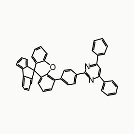 c1ccc(-c2cc(-c3ccccc3)nc(-c3ccc(-c4cccc5c4Oc4ccccc4C54c5ccccc5-c5ccccc54)cc3)n2)cc1